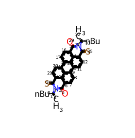 CCCC[C@H](C)N1C(=O)c2ccc3c4ccc5c6c(ccc(c7ccc(c2c37)C1=S)c64)C(=O)N([C@@H](C)CCCC)C5=S